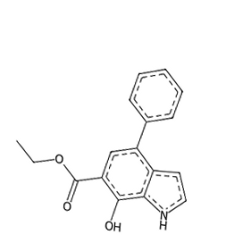 CCOC(=O)c1cc(-c2ccccc2)c2cc[nH]c2c1O